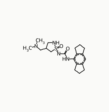 CN(C)CC1CNS(=O)(=NC(=O)Nc2c3c(cc4c2CCC4)CCC3)C1